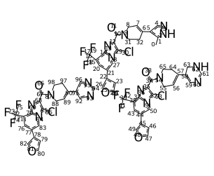 Cc1[nH]ncc1C1=CCN(C(=O)c2nc3c(C(F)(F)F)cc(-c4ccoc4)cn3c2Cl)CC1.O=C(c1nc2c(C(F)(F)F)cc(-c3ccoc3)cn2c1Cl)N1CC=C(C2=CN=CNC2)CC1.O=C(c1nc2c(C(F)(F)F)cc(-c3ccoc3)cn2c1Cl)N1CC=C(c2cncnc2)CC1